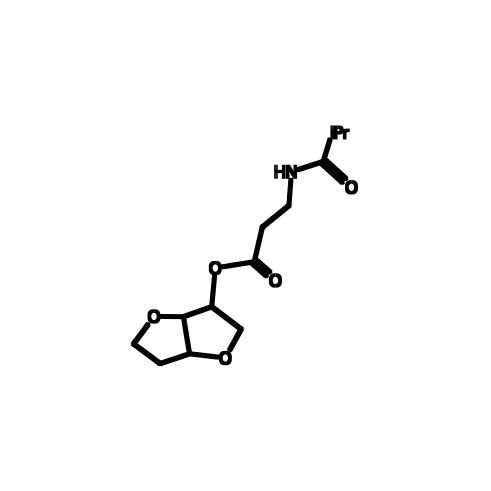 CC(C)C(=O)NCCC(=O)OC1COC2CCOC21